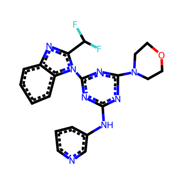 FC(F)c1nc2ccccc2n1-c1nc(Nc2cccnc2)nc(N2CCOCC2)n1